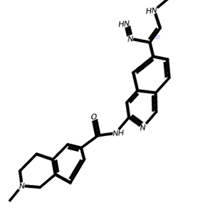 CN/C=C(\N=N)c1ccc2cnc(NC(=O)c3ccc4c(c3)CCN(C)C4)cc2c1